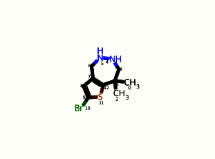 CC1(C)CNNCc2cc(Br)sc21